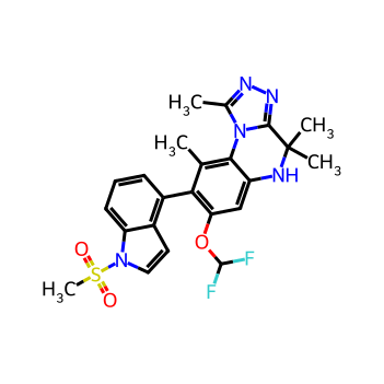 Cc1c(-c2cccc3c2ccn3S(C)(=O)=O)c(OC(F)F)cc2c1-n1c(C)nnc1C(C)(C)N2